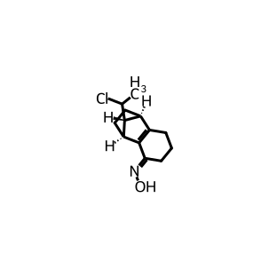 CC(Cl)[C@H]1[C@@H]2CC[C@H]1C1=C2/C(=N/O)CCC1